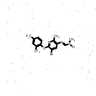 CCN(C)/C=N/c1cc(Br)c(Oc2ccc(C(F)(F)F)cc2C(F)(F)F)nc1C